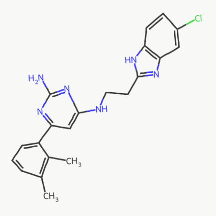 Cc1cccc(-c2cc(NCCc3nc4cc(Cl)ccc4[nH]3)nc(N)n2)c1C